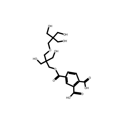 O=C(OCC(CO)(CO)COCC(CO)(CO)CO)c1ccc(C(=O)O)c(C(=O)O)c1